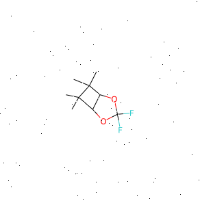 CC1(C)C2OC(F)(F)OC2C1(C)C